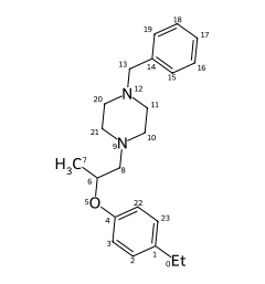 CCc1ccc(OC(C)CN2CCN(Cc3ccccc3)CC2)cc1